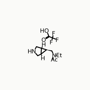 CCN(C[C@H]1[C@@H]2CNC[C@@H]21)C(C)=O.O=C(O)C(F)(F)F